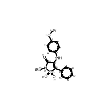 CC(C)Oc1ccc(NC2=C(c3ccccc3)S(=O)(=O)N(C(C)(C)C)C2=O)cc1